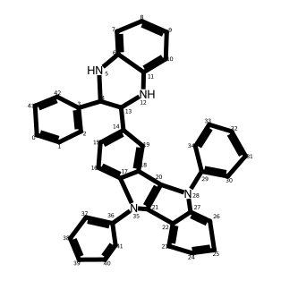 c1ccc(C2Nc3ccccc3NC2c2ccc3c(c2)c2c(c4ccccc4n2-c2ccccc2)n3-c2ccccc2)cc1